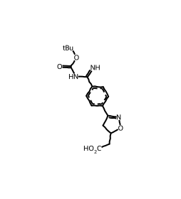 CC(C)(C)OC(=O)NC(=N)c1ccc(C2=NOC(CC(=O)O)C2)cc1